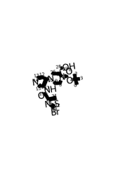 CC(C)(C)OC(=O)N1CCN(c2ccncc2NC(=O)c2csc(Br)n2)C[C@@H]1CO